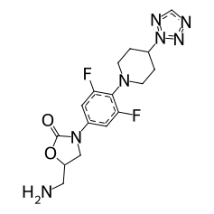 NCC1CN(c2cc(F)c(N3CCC(n4ncnn4)CC3)c(F)c2)C(=O)O1